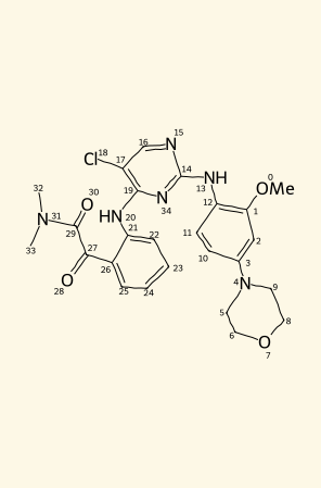 COc1cc(N2CCOCC2)ccc1Nc1ncc(Cl)c(Nc2ccccc2C(=O)C(=O)N(C)C)n1